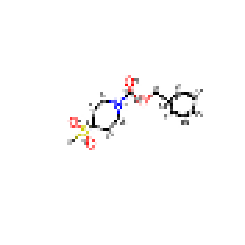 CS(=O)(=O)C1CCN(C(=O)OCc2ccccc2)CC1